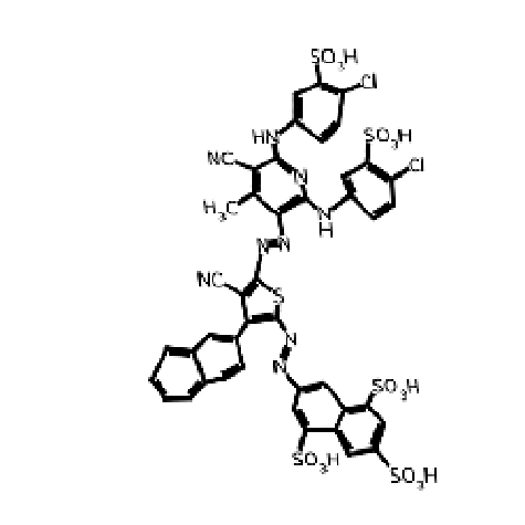 Cc1c(C#N)c(Nc2ccc(Cl)c(S(=O)(=O)O)c2)nc(Nc2ccc(Cl)c(S(=O)(=O)O)c2)c1N=Nc1sc(N=Nc2cc(S(=O)(=O)O)c3cc(S(=O)(=O)O)cc(S(=O)(=O)O)c3c2)c(-c2ccc3ccccc3c2)c1C#N